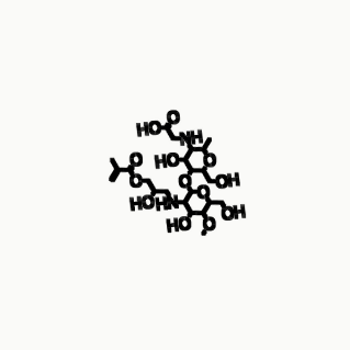 C=C(C)C(=O)OCC(O)CNC1C(OC2C(CO)OC(C)C(NCC(=O)O)C2O)OC(CO)C(OC)C1O